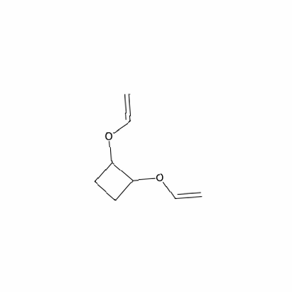 C=COC1CCC1OC=C